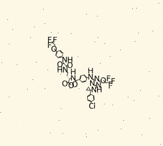 COC(=O)[C@H](CCNC(=O)C(=O)Nc1ccc(OCC(F)(F)F)cc1)NC(=O)c1ccc(Nc2nc(NC3(c4ccc(Cl)cc4)CC3)nc(OCC(F)(F)F)n2)cc1